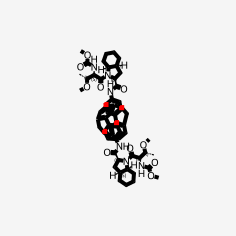 COC(=O)N[C@H](C(=O)N1[C@H](C(=O)Nc2ccc(-c3cc4ccc3CCc3ccc(c(-c5ccc(NC(=O)[C@@H]6C[C@@H]7CCCC[C@@H]7N6C(=O)[C@@H](NC(=O)OC)[C@@H](C)OC)cc5)c3)CC4)cc2)C[C@@H]2CCCC[C@@H]21)[C@@H](C)OC